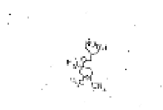 CC1CC(C)(OCC(CO)CN=O)CCN1C